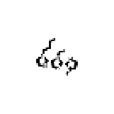 CCCCn1ccnc1.CCn1ccnc1.Cn1ccnc1